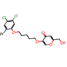 CCCc1cc(Cl)c(Cl)cc1OCCCCCOc1coc(CO)cc1=O